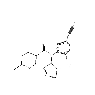 CC1CCC(C(=O)N(c2cc(C#CC(C)(C)C)sc2C(=O)O)C2CCNC2)CC1